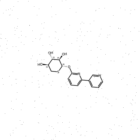 O[C@@H]1[C@@H](O)[C@H](Oc2cccc(-c3cccnc3)n2)SC[C@H]1O